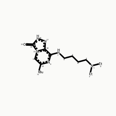 CCN(CC)CCCCNc1nc(C(C)(C)C)cn2c(=O)[nH]nc12